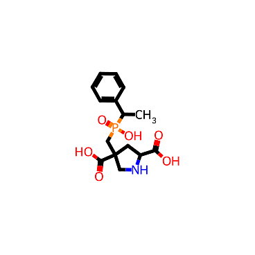 CC(c1ccccc1)P(=O)(O)CC1(C(=O)O)CNC(C(=O)O)C1